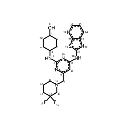 OC1CCC(Nc2nc(CN3CCCC(F)(F)C3)cc(Nc3nc4cccnc4s3)n2)CC1